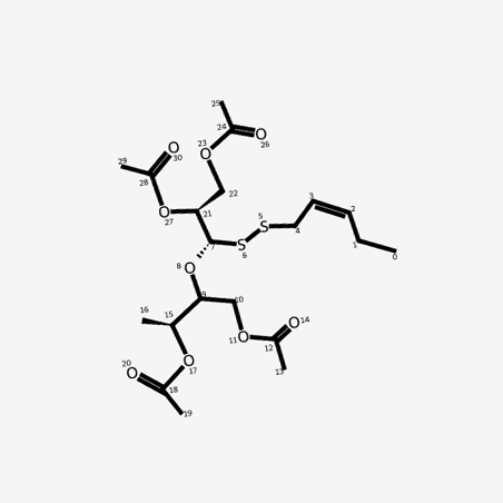 CC/C=C\CSS[C@H](OC(COC(C)=O)[C@H](C)OC(C)=O)[C@H](COC(C)=O)OC(C)=O